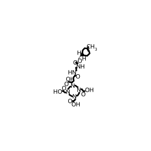 C/C1=C/CC[C@H]2[C@@H](CC1)[C@H]2COC(=O)NCCNC(=O)CCC(C(=O)O)N1CCN(CC(=O)O)CCN(CC(=O)O)CCN(CC(=O)O)CC1